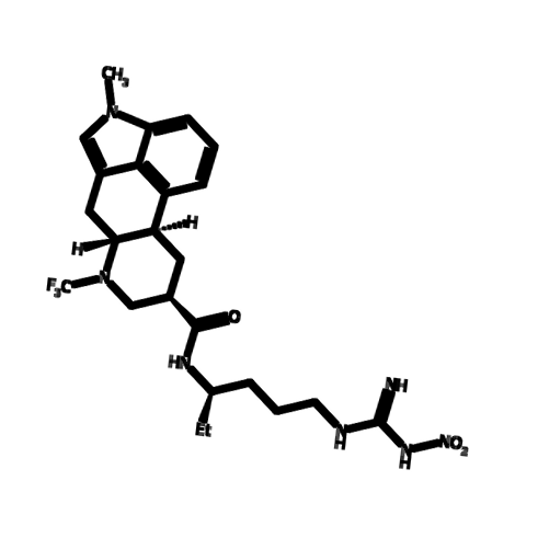 CC[C@H](CCCNC(=N)N[N+](=O)[O-])NC(=O)[C@@H]1C[C@@H]2c3cccc4c3c(cn4C)C[C@H]2N(C(F)(F)F)C1